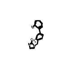 [2H]c1ccccc1-c1ccc(Cn2ccnc2C)cc1